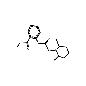 COC(=O)c1ccccc1NC(=O)CN1C(C)CCCC1C